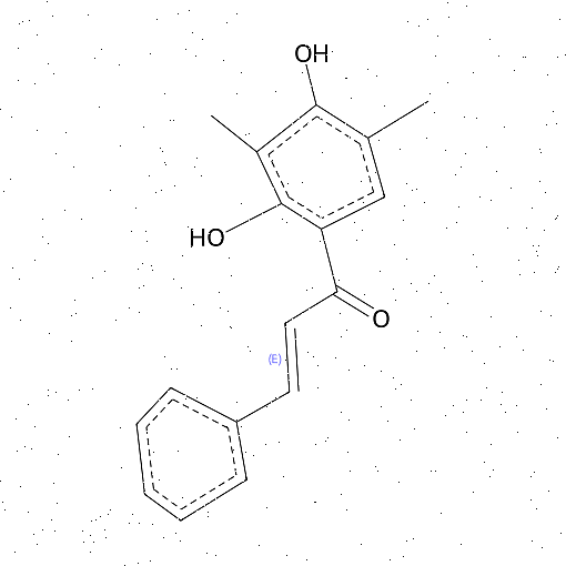 Cc1cc(C(=O)/C=C/c2ccccc2)c(O)c(C)c1O